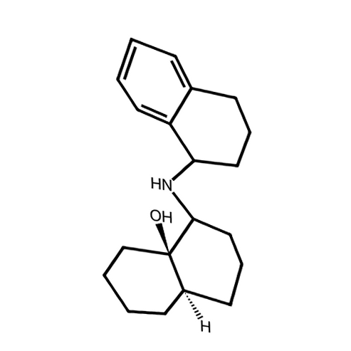 O[C@]12CCCC[C@@H]1CCCC2NC1CCCc2ccccc21